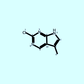 Cc1c[nH]c2nc(Cl)ncc12